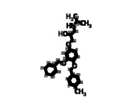 Cc1ccc(COc2ccc(OCC(O)CNC(C)C)cc2OCC2=CCCC=C2)cc1